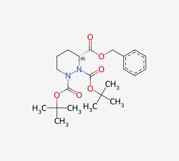 CC(C)(C)OC(=O)N1CCC[C@H](C(=O)OCc2ccccc2)N1C(=O)OC(C)(C)C